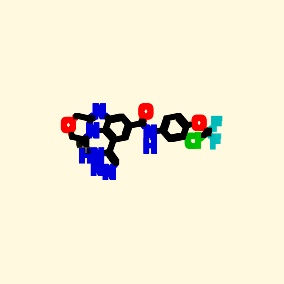 C[C@@H]1COCc2nc3cc(C(=O)Nc4ccc(OC(F)(F)Cl)cc4)cc(-c4cnn[nH]4)c3n21